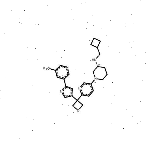 COc1cncc(-c2cn(C3(c4ccc(N5CCC[C@@H](NCC6CCC6)C5)cn4)COC3)cn2)c1